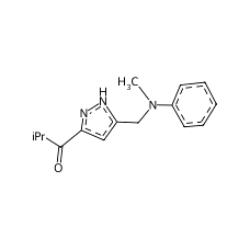 CC(C)C(=O)c1cc(CN(C)c2ccccc2)[nH]n1